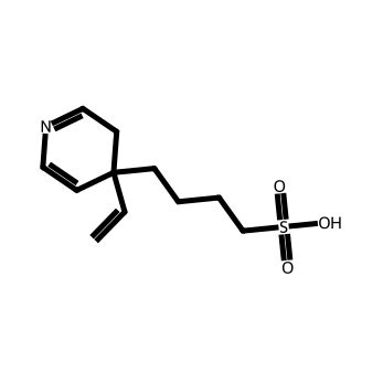 C=CC1(CCCCS(=O)(=O)O)C=CN=CC1